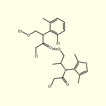 CCOCN(C(=O)CCl)c1c(C)cccc1CC.COCC(C)N(C(=O)CCl)c1c(C)csc1C